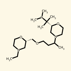 CCN1CCO[C@H](COCCC(C)N2CCO[C@@H](C(C)(C)N(C)C)C2)C1